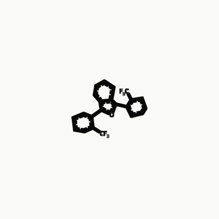 FC(F)(F)c1ccccc1-c1oc(-c2ccccc2C(F)(F)F)c2ccccc12